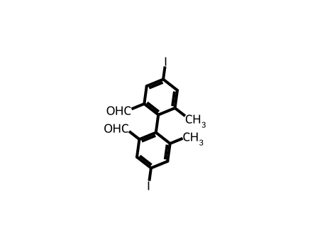 Cc1cc(I)cc(C=O)c1-c1c(C)cc(I)cc1C=O